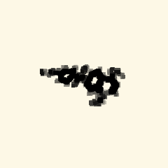 CCC[n+]1ccc(C)c2ccccc21.Cc1ccc(S(=O)(=O)[O-])cc1